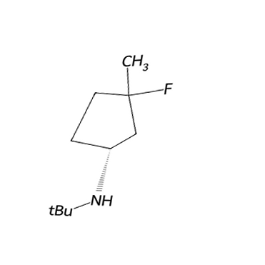 CC1(F)CC[C@@H](NC(C)(C)C)C1